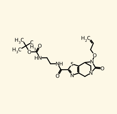 C=CCON1C(=O)N2Cc3nc(C(=O)NCCNC(=O)OC(C)(C)C)sc3C1C2